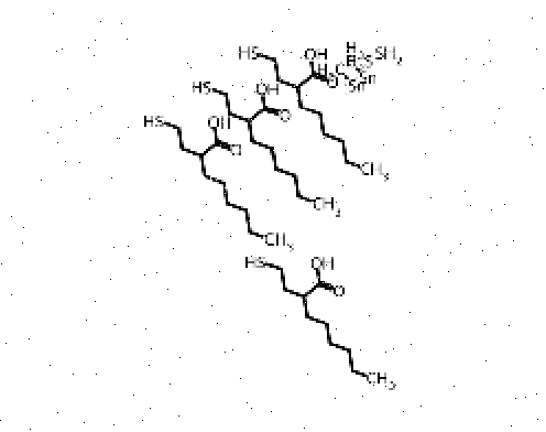 CCCCCCC(CCS)C(=O)O.CCCCCCC(CCS)C(=O)O.CCCCCCC(CCS)C(=O)O.CCCCCCC(CCS)C(=O)O.S.S.[CH3][Sn].[CH3][Sn]